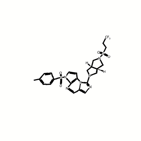 Cc1ccc(S(=O)(=O)n2ccc3c2ncc2cnc(N4C[C@@H]5CN(S(=O)(=O)CCC(F)(F)F)C[C@@H]5C4)n23)cc1